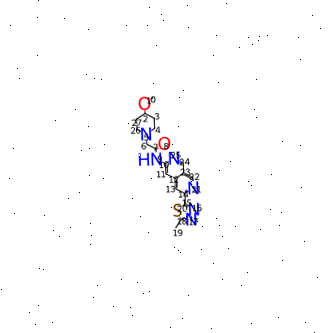 COC1CCN(CC(=O)Nc2cc3cc(-c4nnc(C)s4)ncc3cn2)CC1